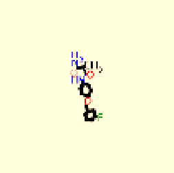 CC(C(N)=O)C(=O)Nc1ccc(OCc2cccc(F)c2)cc1